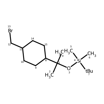 CC(C)(O[Si](C)(C)C(C)(C)C)C1CCC(CBr)CC1